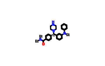 CCN(CC)C(=O)c1ccc([C@@H](c2cccc(N(CC)c3ccccc3)c2)N2CCNCC2)cc1